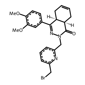 COc1ccc(C2=NN(Cc3cccc(CBr)n3)C(=O)[C@@H]3CC=CC[C@H]23)cc1OC